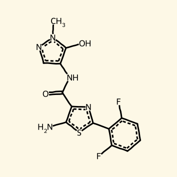 Cn1ncc(NC(=O)c2nc(-c3c(F)cccc3F)sc2N)c1O